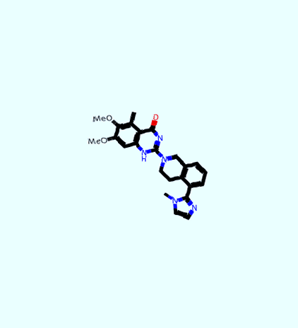 COc1cc2[nH]c(N3CCc4c(cccc4-c4nccn4C)C3)nc(=O)c2c(C)c1OC